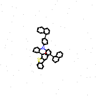 c1ccc(N(c2ccc(-c3cccc4ccccc34)cc2)c2ccc(-c3cccc4ccccc34)cc2)c(-c2cccc3c2sc2ccccc23)c1